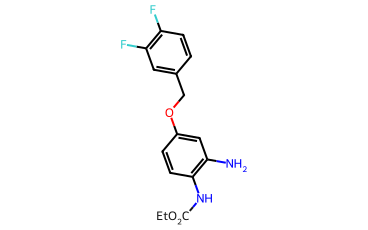 CCOC(=O)Nc1ccc(OCc2ccc(F)c(F)c2)cc1N